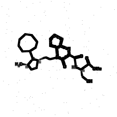 COC(=O)[C@H](CO)NC(=O)c1nc2ccccc2n(CC[C@@H]2CC[C@H](C)N2C2CCCCCCC2)c1=O